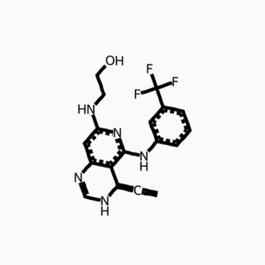 C=C=C1NC=Nc2cc(NCCO)nc(Nc3cccc(C(F)(F)F)c3)c21